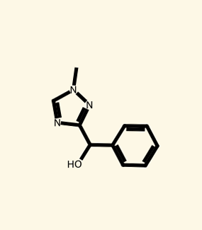 Cn1cnc(C(O)c2ccccc2)n1